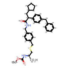 CC(C)(C)OC(=O)N[C@@H](CSCc1ccc(CNC(=O)C(CC2CCCC2)c2ccc(Cc3ccccc3)cc2)cc1)C(=O)O